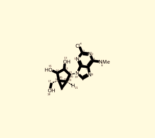 CNc1nc(Cl)nc2c1ncn2[C@H]1C(O)C(O)[C@]2(CO)C[C@H]12